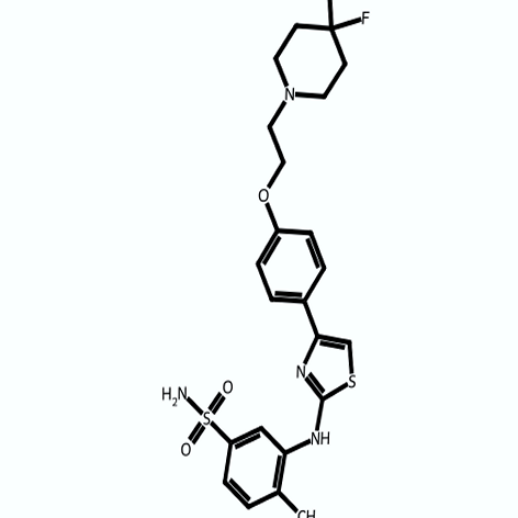 Cc1ccc(S(N)(=O)=O)cc1Nc1nc(-c2ccc(OCCN3CCC(F)(F)CC3)cc2)cs1